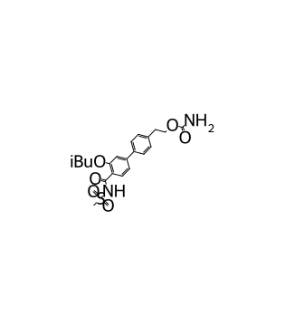 CC(C)COc1cc(-c2ccc(CCOC(N)=O)cc2)ccc1C(=O)NS(C)(=O)=O